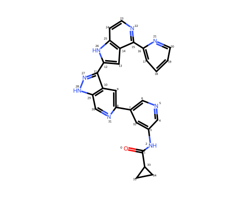 O=C(Nc1cncc(-c2cc3c(-c4cc5c(-c6ccccn6)nccc5[nH]4)n[nH]c3cn2)c1)C1CC1